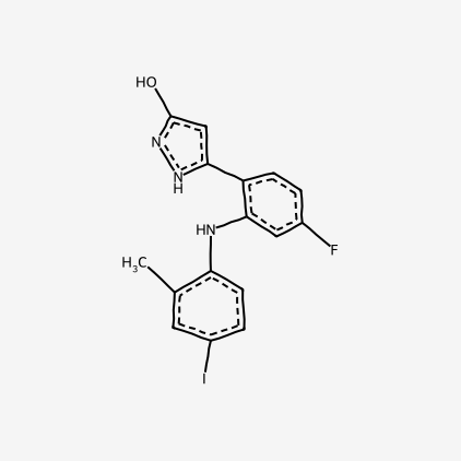 Cc1cc(I)ccc1Nc1cc(F)ccc1-c1cc(O)n[nH]1